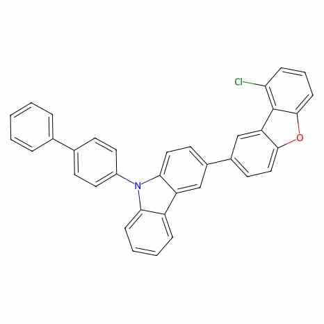 Clc1cccc2oc3ccc(-c4ccc5c(c4)c4ccccc4n5-c4ccc(-c5ccccc5)cc4)cc3c12